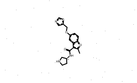 Cc1oc2ccc(OCc3cncs3)cc2c1C(=O)N[C@H]1CCNC1